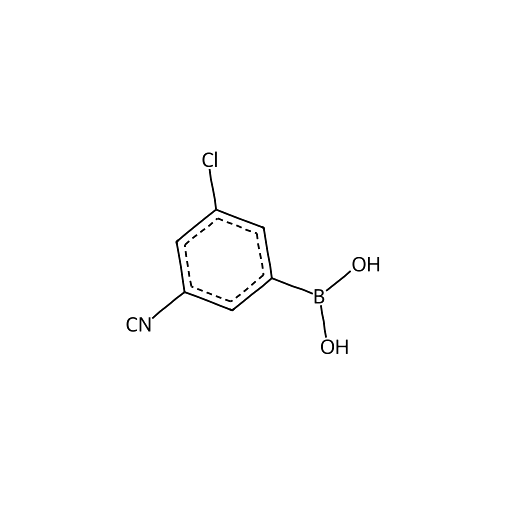 [C-]#[N+]c1cc(Cl)cc(B(O)O)c1